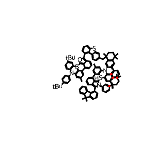 Cc1cc2c3c(c1)N(c1ccc(C(C)(C)C)cc1)c1ccc(C(C)(C)C)cc1B3c1oc(-c3cccc4sc5cc(CC6(C)CCC(C)(C)c7cc(-c8ccccc8)c(N8c9cc%10c(cc9[SH]9c%11c(cc(C)cc%118)-c8cccc%11c(-c%12cccc%13c%12-c%12ccccc%12C%13(C)C)n(-c%12ccccc%12)c9c8%11)C(C)(C)CCC%10(C)C)cc76)ccc5c34)c3cccc-2c13